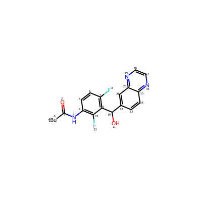 CC(C)(C)C(=O)Nc1ccc(F)c(C(O)c2ccc3nccnc3c2)c1F